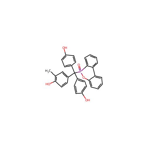 Cc1cc(C(c2ccc(O)cc2)(c2ccc(O)cc2)P2(=O)Oc3ccccc3-c3ccccc32)ccc1O